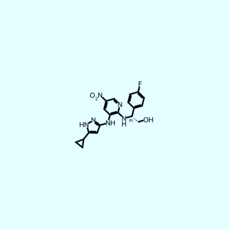 O=[N+]([O-])c1cnc(N[C@@H](CO)c2ccc(F)cc2)c(Nc2cc(C3CC3)[nH]n2)c1